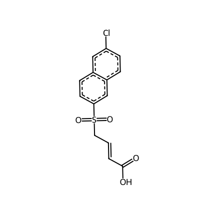 O=C(O)C=CCS(=O)(=O)c1ccc2cc(Cl)ccc2c1